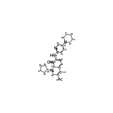 CC(=O)C1=C(C)C2=CN=C(Nc3ccc(N4CCCCC4)cn3)[N+](=O)C2N(C2CCCC2)C1